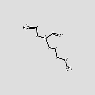 C=CCN([C]=O)CCCOC